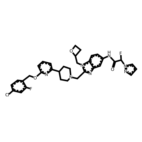 O=C(Nc1ccc2c(c1)nc(CN1CCC(c3cccc(OCc4ccc(Cl)cc4F)n3)CC1)n2CC1CCO1)C(F)n1cccn1